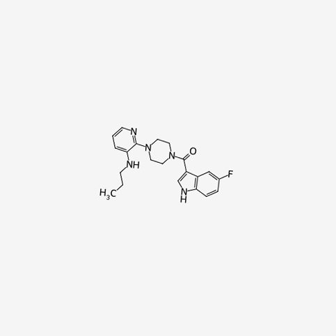 CCCNc1cccnc1N1CCN(C(=O)c2c[nH]c3ccc(F)cc23)CC1